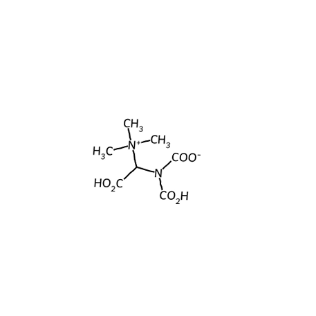 C[N+](C)(C)C(C(=O)O)N(C(=O)[O-])C(=O)O